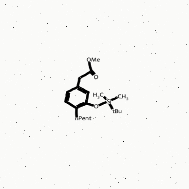 CCCCCc1ccc(CC(=O)OC)cc1O[Si](C)(C)C(C)(C)C